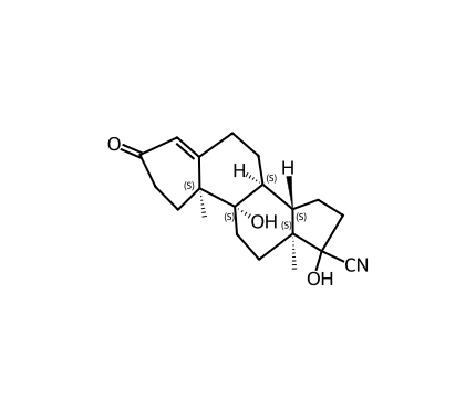 C[C@]12CC[C@]3(O)[C@@H](CCC4=CC(=O)CC[C@@]43C)[C@@H]1CCC2(O)C#N